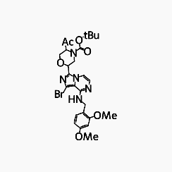 COc1ccc(CNc2nccn3c(C4CN(C(=O)OC(C)(C)C)C(C(C)=O)CO4)nc(Br)c23)c(OC)c1